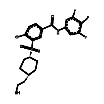 O=C(Nc1cc(F)c(F)c(F)c1)c1ccc(Cl)c(S(=O)(=O)[C@H]2CC[C@@H](CCO)CC2)c1